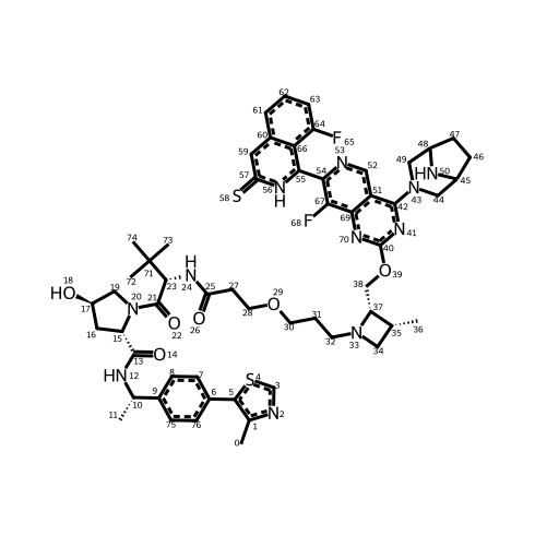 Cc1ncsc1-c1ccc([C@H](C)NC(=O)[C@@H]2C[C@@H](O)CN2C(=O)[C@@H](NC(=O)CCOCCCN2C[C@@H](C)[C@H]2COc2nc(N3CC4CCC(C3)N4)c3cnc(-c4[nH]c(=S)cc5cccc(F)c45)c(F)c3n2)C(C)(C)C)cc1